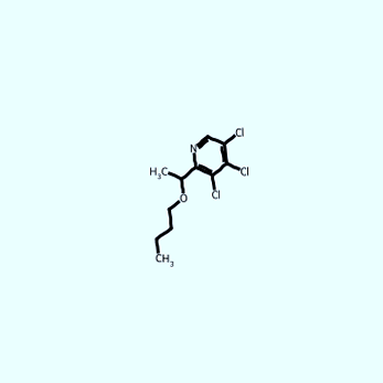 CCCCOC(C)c1ncc(Cl)c(Cl)c1Cl